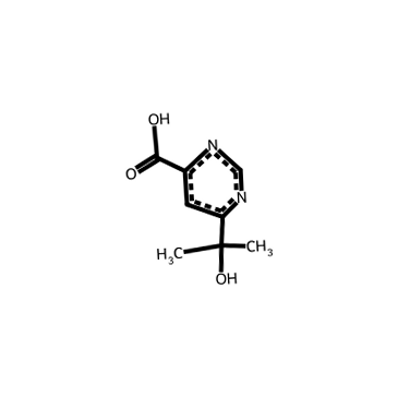 CC(C)(O)c1cc(C(=O)O)ncn1